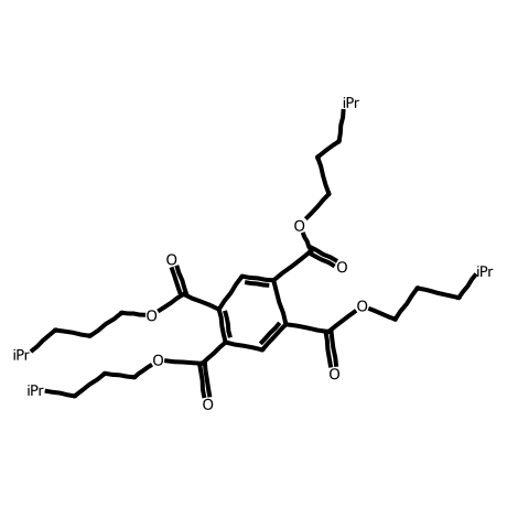 CC(C)CCCOC(=O)c1cc(C(=O)OCCCC(C)C)c(C(=O)OCCCC(C)C)cc1C(=O)OCCCC(C)C